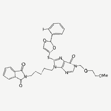 COCCOCn1cnc2c(nc(SC3=COC(c4ccccc4I)O3)n2CCCCCN2C(=O)c3ccccc3C2=O)c1=O